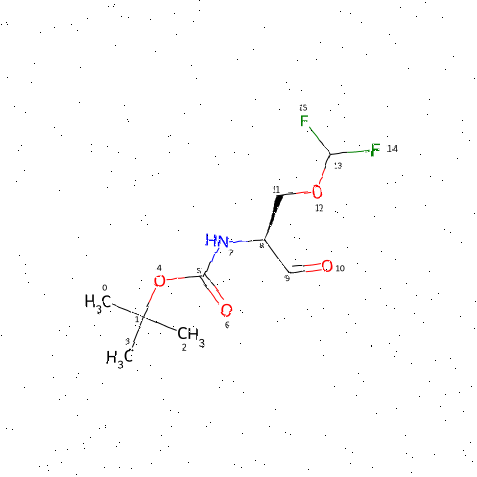 CC(C)(C)OC(=O)N[C@H](C=O)COC(F)F